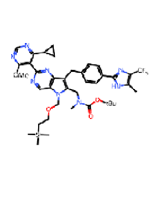 COc1ncnc(C2CC2)c1-c1ncc2c(n1)c(Cc1ccc(-c3nc(C(F)(F)F)c(C)[nH]3)cc1)c(CN(C)C(=O)OC(C)(C)C)n2COCC[Si](C)(C)C